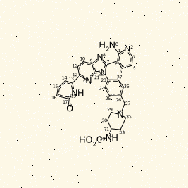 Nc1ncccc1-c1nc2ccc(-c3cccc(=O)[nH]3)nc2n1-c1ccc(CN2CCC(NC(=O)O)CC2)cc1